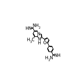 CC1=CC(C(=N)N)=CN2C=C(c3ccc(-c4ccc(C(=N)N)cc4)o3)NC12